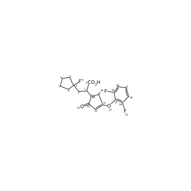 O=C(O)C(CC1(F)CCCC1)N1CC(Oc2c(F)cccc2F)=CC1=O